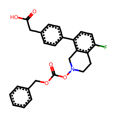 O=C(O)Cc1ccc(-c2ccc(F)c3c2CN(OC(=O)OCc2ccccc2)CC3)cc1